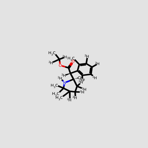 [2H]c1c([2H])c([2H])c([C@@]([2H])(C(=O)OC([2H])([2H])C)[C@]2(C)N([2H])C(C)(C)C([2H])(C)C([2H])([2H])C2([2H])[2H])c(C)c1[2H]